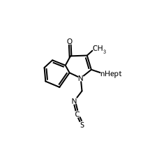 CCCCCCCc1c(C)c(=O)c2ccccc2n1CN=C=S